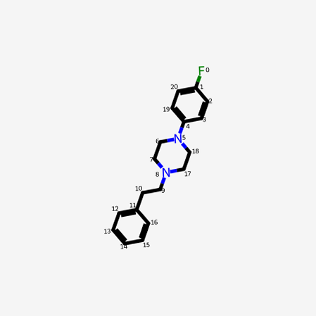 Fc1ccc(N2CCN(CCc3ccccc3)CC2)cc1